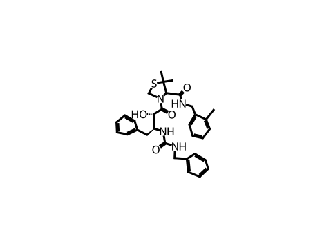 Cc1ccccc1CNC(=O)C1N(C(=O)[C@@H](O)[C@H](Cc2ccccc2)NC(=O)NCc2ccccc2)CSC1(C)C